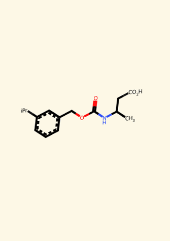 CC(CC(=O)O)NC(=O)OCc1cccc(C(C)C)c1